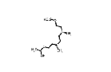 CC(O)OCCN(C)CCN(C)CCOS(=O)(=O)O